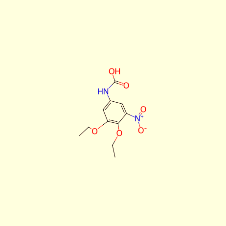 CCOc1cc(NC(=O)O)cc([N+](=O)[O-])c1OCC